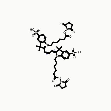 CC1(C)C(/C=C\C=C2/N(CCCCCC(=O)ON3C(=O)CCC3=O)c3ccc(S(=O)(=O)O)cc3C2(C)C)=[N+](CCCCCC(=O)ON2C(=O)CCC2=O)c2ccc(S(=O)(=O)O)cc21